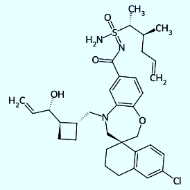 C=CC[C@H](C)[C@@H](C)S(N)(=O)=NC(=O)c1ccc2c(c1)N(C[C@@H]1CC[C@H]1[C@@H](O)C=C)C[C@@]1(CCCc3cc(Cl)ccc31)CO2